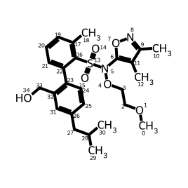 COCCON(c1onc(C)c1C)S(=O)(=O)c1c(C)cccc1-c1ccc(CC(C)C)cc1CO